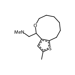 CNCC1OCCCCCCc2sc(C)cc21